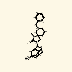 CN1C(=O)N(C2C3CC4CC2CC(O)(C4)C3)CC12CCCN(Cc1ccccc1)C2